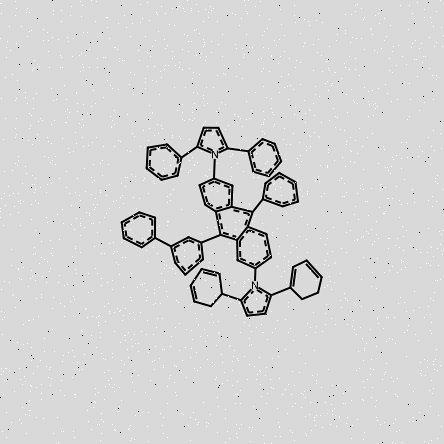 C1=CCCC(c2ccc(C3C=CC=CC3)n2-c2ccc3c(-c4ccccc4)c4cc(-n5c(-c6ccccc6)ccc5-c5ccccc5)ccc4c(-c4cccc(-c5ccccc5)c4)c3c2)=C1